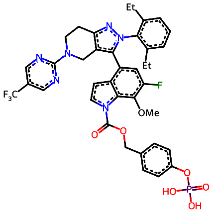 CCc1cccc(CC)c1-n1nc2c(c1-c1cc(F)c(OC)c3c1ccn3C(=O)OCc1ccc(OP(=O)(O)O)cc1)CN(c1ncc(C(F)(F)F)cn1)CC2